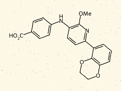 COc1nc(-c2cccc3c2OCCO3)ccc1Nc1ccc(C(=O)O)cc1